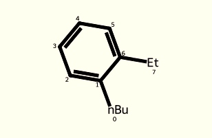 [CH2]CCCc1ccccc1C[CH2]